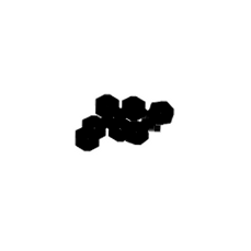 c1ccc(-c2nc3ccccc3n2-c2cccc(-c3c4ccccc4c(-c4ccc5ccccc5c4)c4ccccc34)c2)cc1